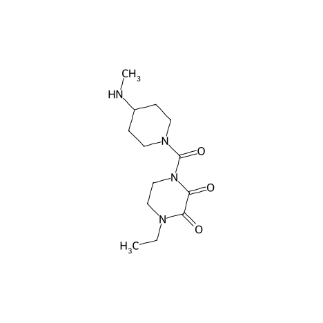 CCN1CCN(C(=O)N2CCC(NC)CC2)C(=O)C1=O